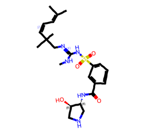 CN/C(=N\CC(C)(C)/C=C\C=C(C)C)NS(=O)(=O)c1cccc(C(=O)N[C@@H]2CNC[C@H]2O)c1